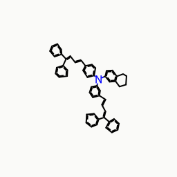 C(/C=C/c1ccc(N(c2cccc(/C=C/C=C(c3ccccc3)c3ccccc3)c2)c2ccc3c(c2)CCCC3)cc1)=C(c1ccccc1)c1ccccc1